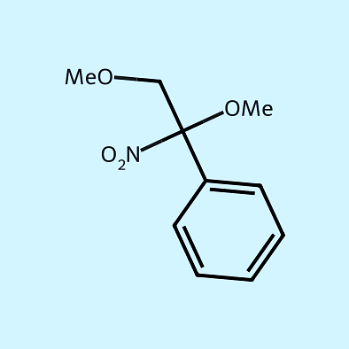 COCC(OC)(c1ccccc1)[N+](=O)[O-]